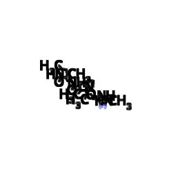 CN/C=C\C(=N)COC(C)c1c(C)c(C(=O)NCc2c(C)cc(C)[nH]c2=O)cc2cccn12